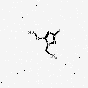 CCn1nc(I)cc1OC